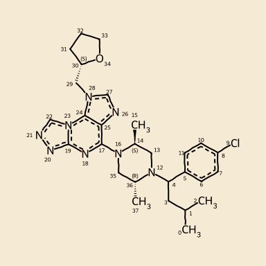 CC(C)CC(c1ccc(Cl)cc1)N1C[C@H](C)N(c2nc3nncn3c3c2ncn3C[C@@H]2CCCO2)C[C@H]1C